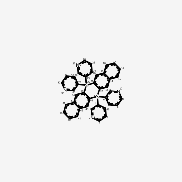 c1cncc(S2(c3cccnc3)c3cc4ccccc4cc3S(c3cccnc3)(c3cccnc3)c3cc4ccccc4cc32)c1